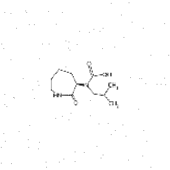 CC(C)CN(C(=O)O)[C@@H]1CCCCNC1=O